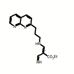 CCOC(=O)/C(C=N)=C/NCCCc1ccc2cccnc2n1